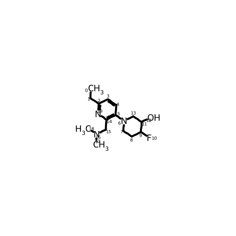 CCc1ccc(N2CCC(F)C(O)C2)c(CN(C)C)n1